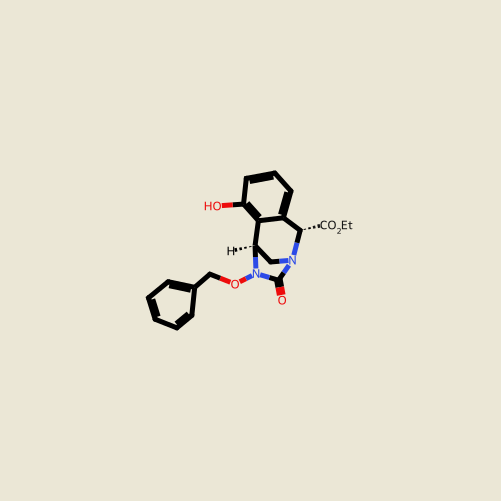 CCOC(=O)[C@H]1c2cccc(O)c2[C@H]2CN1C(=O)N2OCc1ccccc1